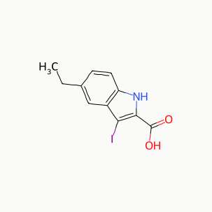 CCc1ccc2[nH]c(C(=O)O)c(I)c2c1